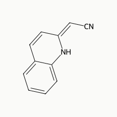 N#CC=C1C=Cc2ccccc2N1